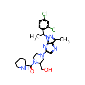 Cc1nn(C(C)c2ccc(Cl)cc2Cl)c2nc(N3CCN(C(=O)C4CCCCN4)C(CO)C3)cnc12